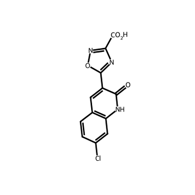 O=C(O)c1noc(-c2cc3ccc(Cl)cc3[nH]c2=O)n1